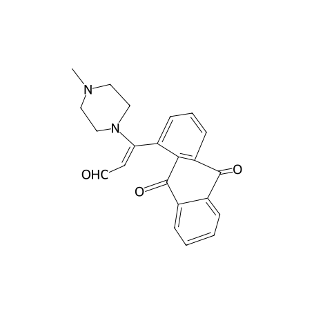 CN1CCN(C(=CC=O)c2cccc3c2C(=O)c2ccccc2C3=O)CC1